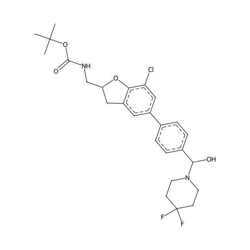 CC(C)(C)OC(=O)NCC1Cc2cc(-c3ccc(C(O)N4CCC(F)(F)CC4)cc3)cc(Cl)c2O1